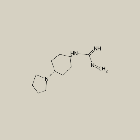 C=NC(=N)N[C@H]1CC[C@H](N2CCCC2)CC1